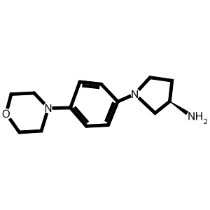 N[C@@H]1CCN(c2ccc(N3CCOCC3)cc2)C1